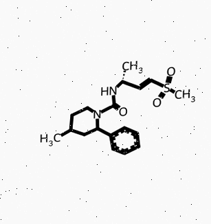 CC1CCN(C(=O)N[C@H](C)/C=C/S(C)(=O)=O)C(c2ccccc2)C1